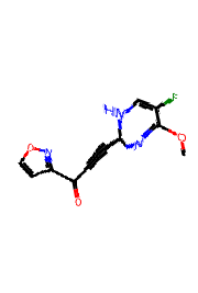 COC1=NC(C#CC(=O)c2ccon2)NC=C1F